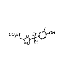 CCOC(=O)Cc1coc(C(CC)(CC)c2ccc(O)c(C)c2)n1